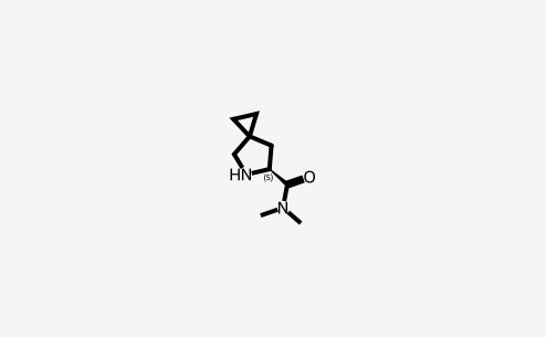 CN(C)C(=O)[C@@H]1CC2(CC2)CN1